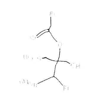 CCCCCCCCCC(CC)C(C)(OC(=O)CC)S(=O)(=O)O